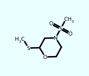 CSC1CN(S(C)(=O)=O)CCO1